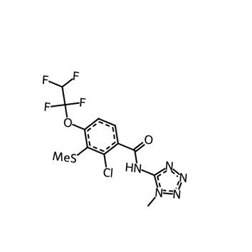 CSc1c(OC(F)(F)C(F)F)ccc(C(=O)Nc2nnnn2C)c1Cl